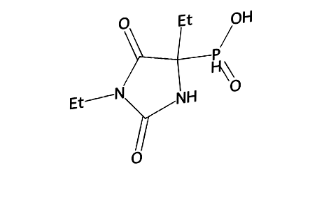 CCN1C(=O)NC(CC)([PH](=O)O)C1=O